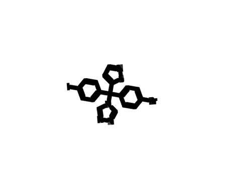 Brc1ccc(C(c2ccc(I)cc2)(c2ccns2)n2cnnc2)cc1